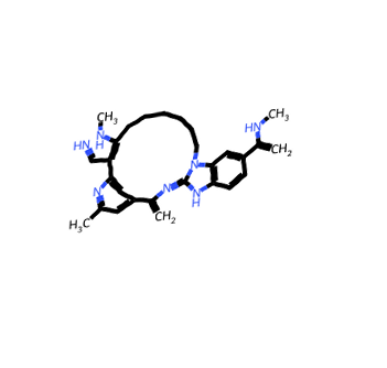 C=C1/N=C2\Nc3ccc(C(=C)NC)cc3N2CCCCCC/C(NC)=C(/C=N)c2cc1cc(C)n2